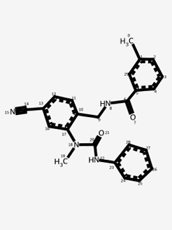 Cc1cccc(C(=O)NCc2ccc(C#N)cc2N(C)C(=O)Nc2ccccc2)c1